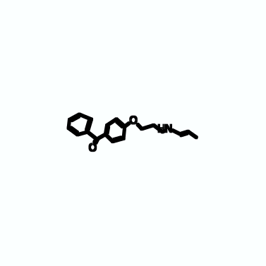 CC=CNCCCOc1ccc(C(=O)c2ccccc2)cc1